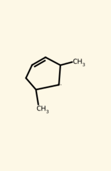 CC1[CH]C(C)CC=C1